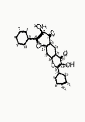 O=C1C(O)=C(C2CCCCC2)OC2CC3OC(C4CCCCC4)=C(O)C(=O)C3CC12